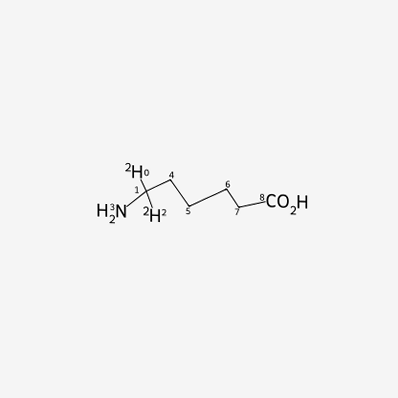 [2H]C([2H])(N)CCCCC(=O)O